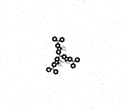 CC1(C)c2cc(N(c3ccccc3)c3ccccc3)ccc2-c2ccc(N(c3ccc4c(c3)C(C)(C)c3cc(N(c5ccccc5)c5ccccc5)ccc3-4)c3ccc4c(c3)C(C)(C)c3cc(N(c5ccccc5)C5C=CC=CC5)ccc3-4)cc21